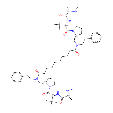 CN[C@@H](C)C(=O)N[C@H](C(=O)N1CCC[C@H]1CN(CCc1ccccc1)C(=O)CCCCCCCCC(=O)N(CCc1ccccc1)C[C@@H]1CCCN1C(=O)[C@@H](NC(=O)[C@H](C)NC)C(C)(C)C)C(C)(C)C